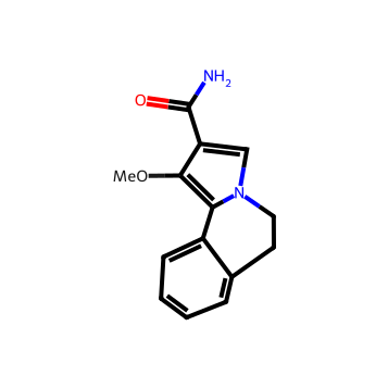 COc1c(C(N)=O)cn2c1-c1ccccc1CC2